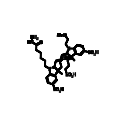 COCCN1/C(=C/C=C/C2=[N+](CCCCCC(=O)NN)c3ccc(S(=O)(=O)O)cc3C2(C)CCOC)C(C)(CCCS(=O)(=O)O)c2cc(S(=O)(=O)O)ccc21